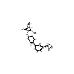 CCCCc1nn(C(C)CC)c(=O)n1Cc1ccc(-c2cccc(-c3nnn[nH]3)c2)cc1